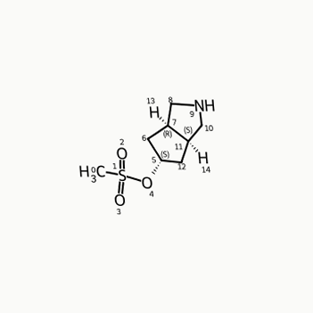 CS(=O)(=O)O[C@@H]1C[C@H]2CNC[C@H]2C1